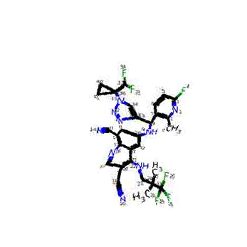 Cc1nc(F)ccc1C(Nc1cc(C#N)c2ncc(C#N)c(NCC(C)(C)C(F)(F)F)c2c1)c1cn(C2(C(F)F)CC2)nn1